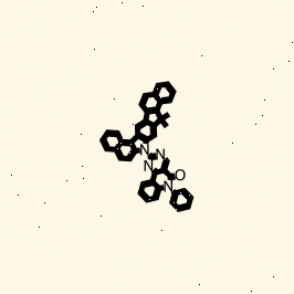 CC1(C)c2cc3c(cc2-c2ccc4ccccc4c21)c1c2ccccc2ccc1n3-c1ncc2c(=O)n(-c3ccccc3)c3ccccc3c2n1